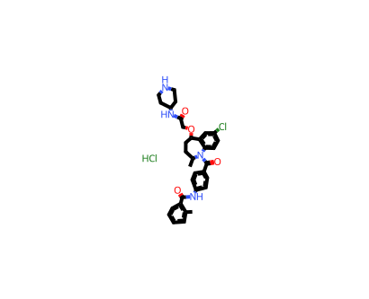 Cc1ccccc1C(=O)Nc1ccc(C(=O)N2c3ccc(Cl)cc3C(OCC(=O)NC3CCNCC3)CCC2C)cc1.Cl